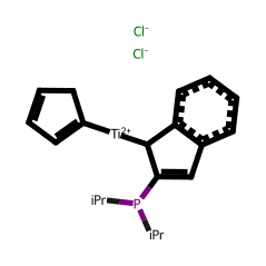 CC(C)P(C1=Cc2ccccc2[CH]1[Ti+2][C]1=CC=CC1)C(C)C.[Cl-].[Cl-]